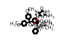 COc1ccc(C(OC[C@H]2O[C@@H](n3cnc4c(=O)[nH]c(N)nc43)[C@H](O[Si](C)(C)C(C)(C)C)[C@@H]2Nc2ccccc2)(c2ccccc2)c2ccc(OC)cc2)cc1